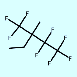 CCC(C)(C(F)(F)F)C(F)(F)C(F)(F)F